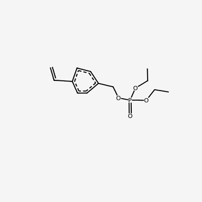 C=Cc1ccc(COP(=O)(OCC)OCC)cc1